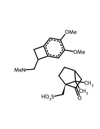 CC1(C)C2CC[C@@]1(CS(=O)(=O)O)C(=O)C2.CNCC1Cc2cc(OC)c(OC)cc21